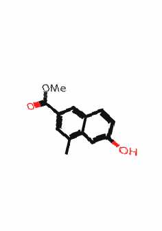 COC(=O)c1cc(C)c2cc(O)ccc2c1